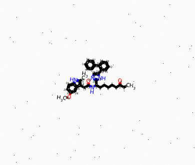 CCC(=O)CCCCCC(NC(=O)Cc1c(C)[nH]c2ccc(OC)cc12)c1ncc(-c2ccccc2-c2ccccc2)[nH]1